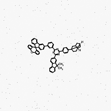 CC1(C)c2ccccc2-c2ccc(-c3nc(-c4ccc(C56CC[C@H]7C[C@H](CC7C5)C6)cc4)nc(-c4cccc(-c5ccc6c(c5)-c5ccccc5C65c6ccccc6Oc6ccccc65)c4)n3)cc21